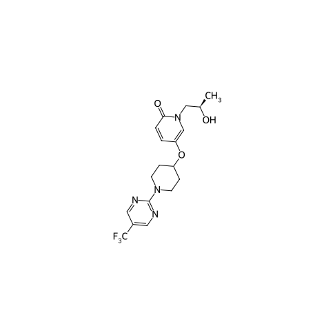 C[C@@H](O)Cn1cc(OC2CCN(c3ncc(C(F)(F)F)cn3)CC2)ccc1=O